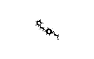 S=CC=Nc1ccc(OCCN2CCCC2)cc1